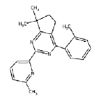 Cc1cccc(-c2nc(-c3ccccc3C)c3c(n2)C(C)(C)CC3)n1